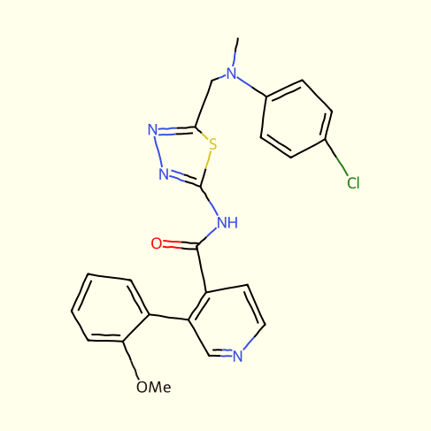 COc1ccccc1-c1cnccc1C(=O)Nc1nnc(CN(C)c2ccc(Cl)cc2)s1